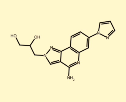 Nc1nc2cc(-n3cccn3)ccc2c2nn(CC(O)CO)cc12